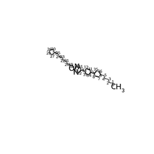 CCCCCCc1ccc(-c2ccc(-c3cnc(OCCCCCCCC4CCCC4)nc3)cc2)cc1